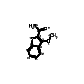 COc1c(C(N)=O)sc2ccccc12